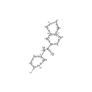 Cc1ccc(NC(=O)c2ccc3ccccc3n2)cc1